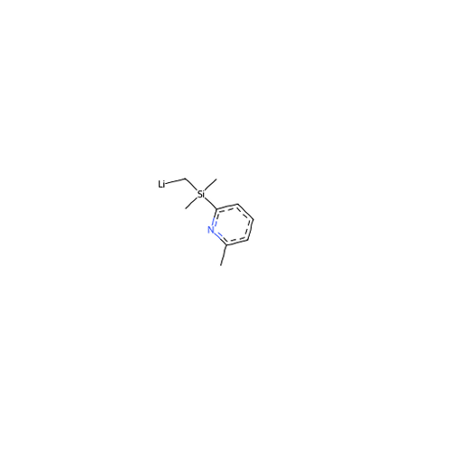 [Li][CH2][Si](C)(C)c1cccc(C)n1